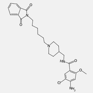 COc1cc(N)c(Cl)cc1C(=O)NCC1CCN(CCCCCCN2C(=O)c3ccccc3C2=O)CC1